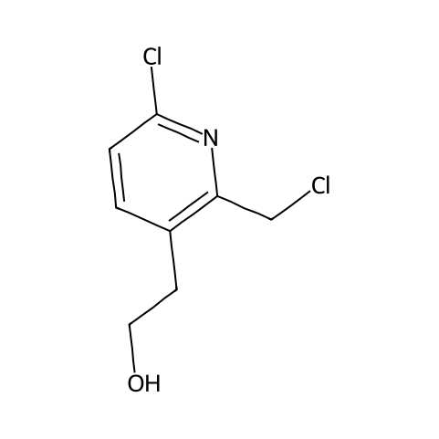 OCCc1ccc(Cl)nc1CCl